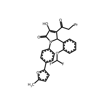 Cc1ccc(-c2ccc(N3C(=O)C(O)=C(C(=O)CC(C)C)C3c3ccccc3OC(F)F)cc2)o1